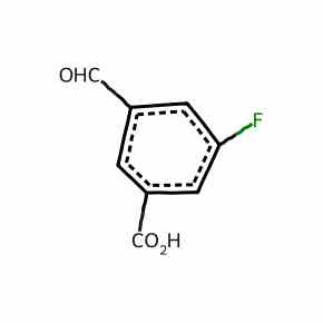 O=Cc1cc(F)cc(C(=O)O)c1